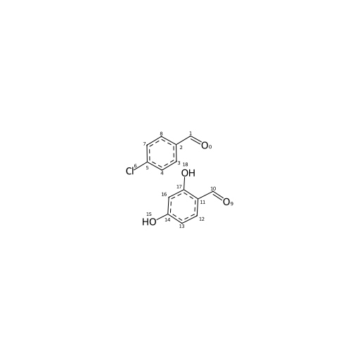 O=Cc1ccc(Cl)cc1.O=Cc1ccc(O)cc1O